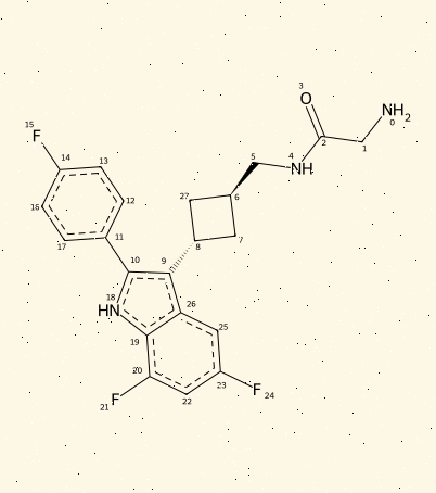 NCC(=O)NC[C@H]1C[C@H](c2c(-c3ccc(F)cc3)[nH]c3c(F)cc(F)cc32)C1